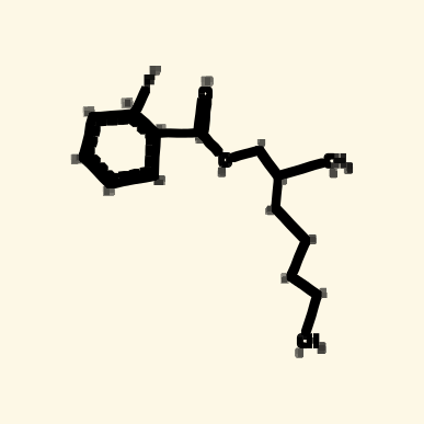 CCCCCC(C)COC(=O)c1ccccc1F